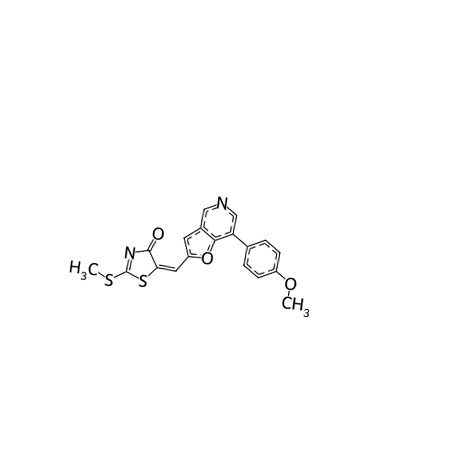 COc1ccc(-c2cncc3cc(C=C4SC(SC)=NC4=O)oc23)cc1